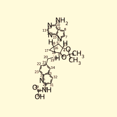 CC1(C)O[C@H]2[C@@H](n3ccc4c(N)ncnc43)[C@H]3C[C@]3(CCc3ccc4nc(NC(=O)O)ccc4c3)[C@@H]2O1